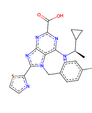 C[C@@H](Nc1nc(C(=O)O)nc2nc(-c3nccs3)n(Cc3ccc(Cl)cc3)c12)C1CC1